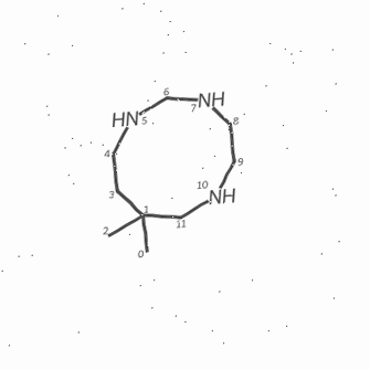 CC1(C)CCNCNCCNC1